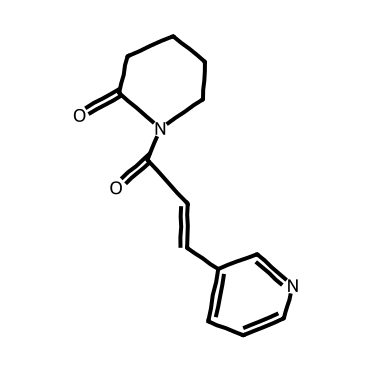 O=C(/C=C/c1cccnc1)N1CCCCC1=O